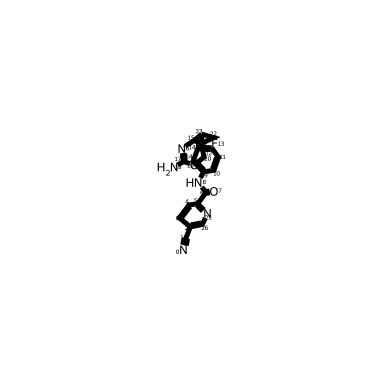 N#Cc1ccc(C(=O)Nc2ccc(F)c([C@@]34N=C(N)OCC35CC54)c2)nc1